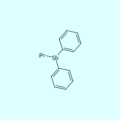 C[CH](C)[Sb]([c]1ccccc1)[c]1ccccc1